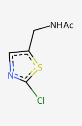 CC(=O)NCc1cnc(Cl)s1